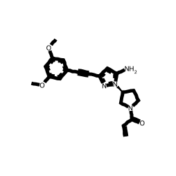 C=CC(=O)N1CC[C@H](n2nc(C#Cc3cc(OC)cc(OC)c3)cc2N)C1